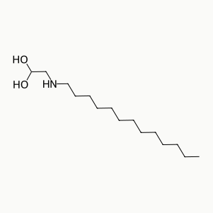 CCCCCCCCCCCCCNCC(O)O